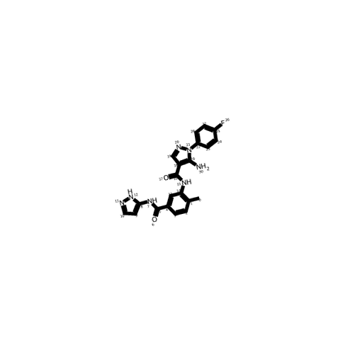 Cc1ccc(C(=O)Nc2ccn[nH]2)cc1NC(=O)c1cnn(-c2ccc(F)cc2)c1N